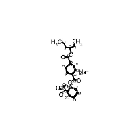 CCCC(CC)OC(=O)c1ccc(C(=O)Oc2ccccc2S(=O)(=O)[O-])cc1.[Na+]